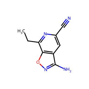 CCc1nc(C#N)cc2c(N)noc12